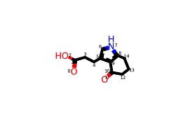 O=C(O)CCc1c[nH]c2c1C(=O)CCC2